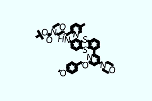 COc1ccc(COc2cc(N3CCOCC3)cc(-c3cccc4c3Sc3ccc(NC(c5ccc(C)cn5)[C@H]5CN(C(=O)OC(C)(C)C)CCO5)cc3S4)n2)cc1